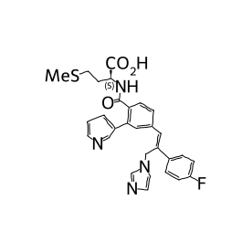 CSCC[C@H](NC(=O)c1ccc(C=C(Cn2ccnc2)c2ccc(F)cc2)cc1-c1cccnc1)C(=O)O